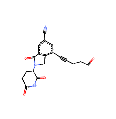 N#Cc1cc(C#CCCC=O)c2c(c1)C(=O)N(C1CCC(=O)NC1=O)C2